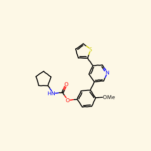 COc1ccc(OC(=O)NC2CCCC2)cc1-c1cncc(-c2cccs2)c1